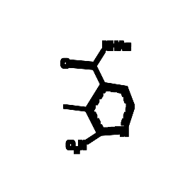 CC(=O)NC(=O)c1ccnc([N+](=O)[O-])c1C